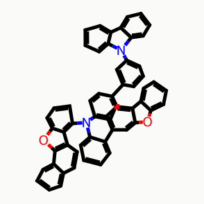 c1cc(-c2ccc(N(c3ccccc3-c3ccc4c(c3)oc3ccccc34)c3cccc4oc5c6ccccc6ccc5c34)cc2)cc(-n2c3ccccc3c3ccccc32)c1